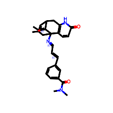 C/C=C1\C2C=C(C)CC1(/N=C/C=C/c1cccc(C(=O)N(C)C)c1)c1ccc(=O)[nH]c1C2